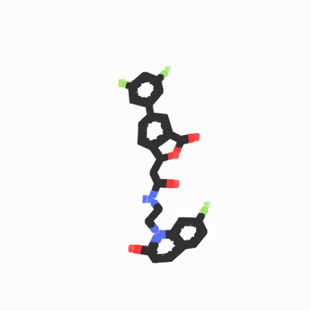 O=C(CC1OC(=O)c2cc(-c3cc(F)cc(F)c3)ccc21)NCCn1c(=O)ccc2ccc(F)cc21